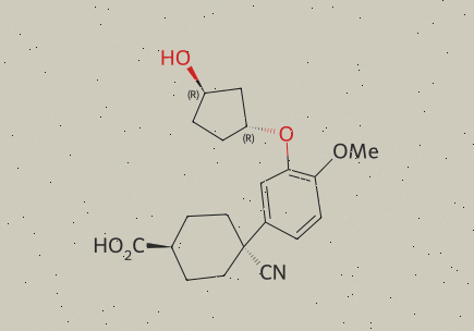 COc1ccc([C@]2(C#N)CC[C@H](C(=O)O)CC2)cc1O[C@@H]1CC[C@@H](O)C1